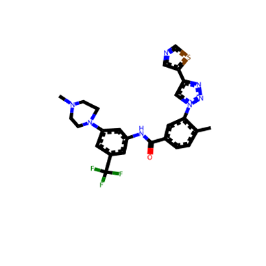 Cc1ccc(C(=O)Nc2cc(N3CCN(C)CC3)cc(C(F)(F)F)c2)cc1-n1cc(-c2cncs2)nn1